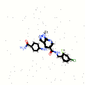 CCn1ncc2c(NC3CCC(C(N)=O)CC3)c(C(=O)NCc3ccc(Cl)cc3F)cnc21